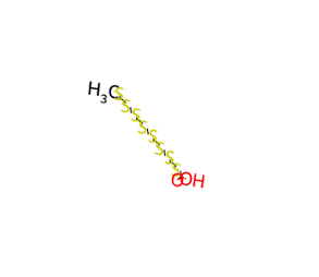 CSCCSCCSCCSCCSCCSCCSCCSCC(=O)O